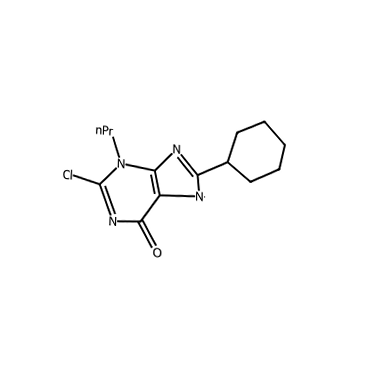 CCCn1c(Cl)nc(=O)c2c1N=C(C1CCCCC1)[N]2